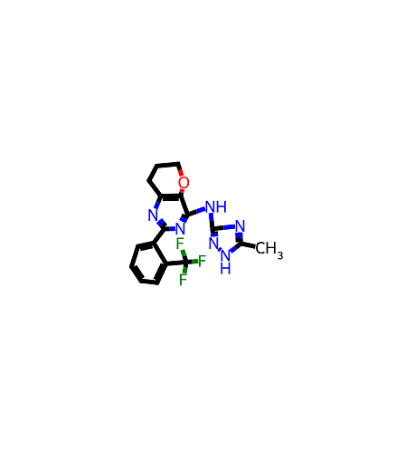 Cc1nc(Nc2nc(-c3ccccc3C(F)(F)F)nc3c2OCCC3)n[nH]1